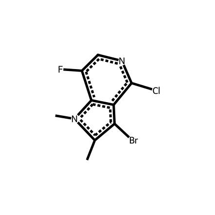 Cc1c(Br)c2c(Cl)ncc(F)c2n1C